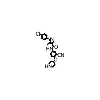 Cc1c(C(=O)Nc2ccc(OC3CCNCC3)c(C#N)c2)cnn1-c1ccc(Cl)cc1